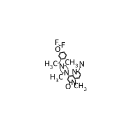 CC1CN(c2cc(=O)n(C)c3ccc(C#N)nc23)[C@@H](C)CN1C(C)c1cccc(OC(F)F)c1